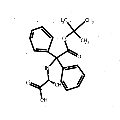 C[C@H](NC(C(=O)OC(C)(C)C)(c1ccccc1)c1ccccc1)C(=O)O